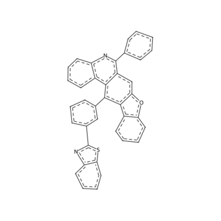 c1ccc(-c2nc3ccccc3c3c(-c4cccc(-c5nc6ccccc6s5)c4)c4c(cc23)oc2ccccc24)cc1